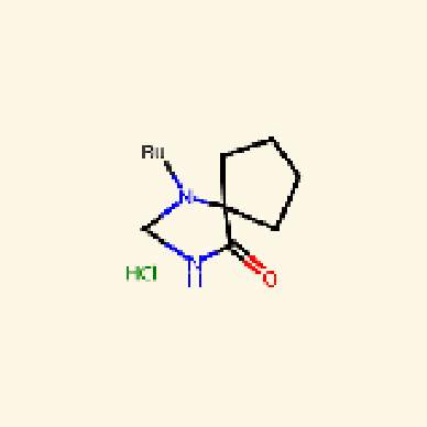 CCC(C)N1CNC(=O)C12CCCC2.Cl